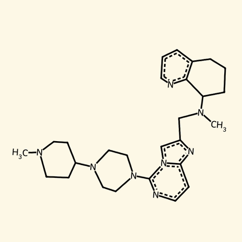 CN1CCC(N2CCN(c3nccc4nc(CN(C)C5CCCc6cccnc65)cn34)CC2)CC1